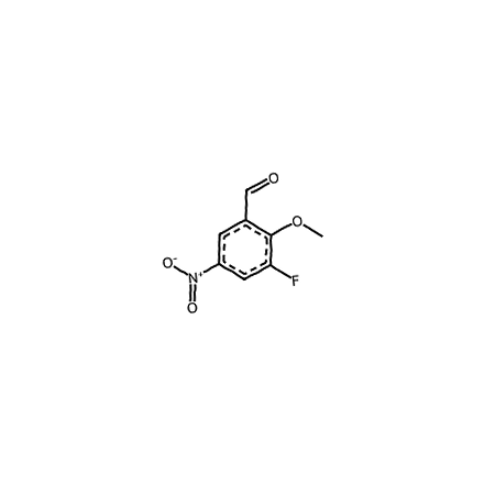 COc1c(F)cc([N+](=O)[O-])cc1C=O